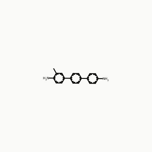 Cc1cc(-c2ccc(-c3ccc(N)cc3)cc2)ccc1N